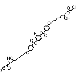 C=CC(=O)OCC(O)CCCCCCOc1ccc(C(=O)Oc2ccc(OC(=O)c3ccc(OCCCCCCC(O)COC(=O)C=C)cc3)c(F)c2)cc1